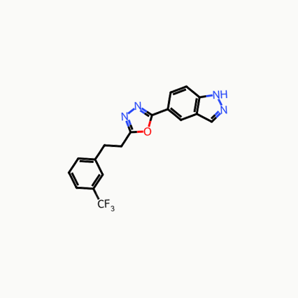 FC(F)(F)c1cccc(CCc2nnc(-c3ccc4[nH]ncc4c3)o2)c1